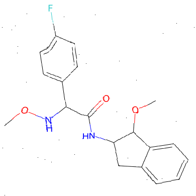 CONC(C(=O)NC1Cc2ccccc2C1OC)c1ccc(F)cc1